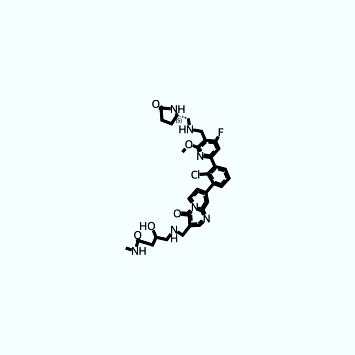 CNC(=O)CC(O)CNCc1cnc2cc(-c3cccc(-c4cc(F)c(CNC[C@@H]5CCC(=O)N5)c(OC)n4)c3Cl)ccn2c1=O